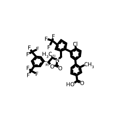 Cc1cc(C(=O)O)ccc1-c1ccc(Cl)c(-c2ccc(C(F)(F)F)cc2CN2C(=O)O[C@H](c3cc(C(F)(F)F)cc(C(F)(F)F)c3)[C@@H]2C)c1